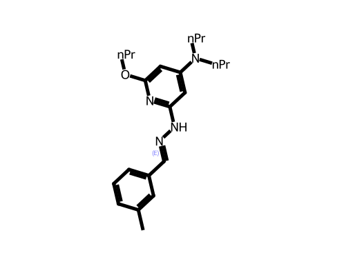 CCCOc1cc(N(CCC)CCC)cc(N/N=C/c2cccc(C)c2)n1